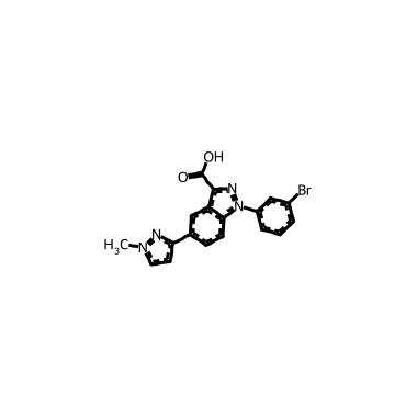 Cn1ccc(-c2ccc3c(c2)c(C(=O)O)nn3-c2cccc(Br)c2)n1